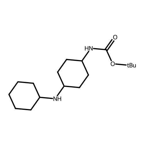 CC(C)(C)OC(=O)NC1CCC(NC2CCCCC2)CC1